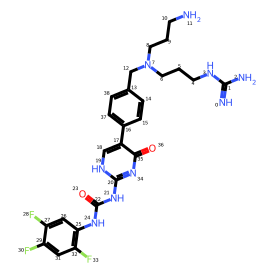 N=C(N)NCCCN(CCCN)Cc1ccc(-c2c[nH]c(NC(=O)Nc3cc(F)c(F)cc3F)nc2=O)cc1